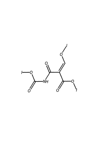 O=C(NC(=O)/C(=C\OI)C(=O)OI)OI